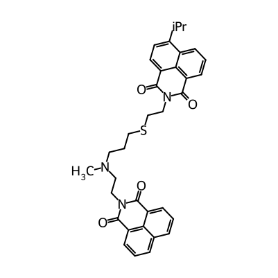 CC(C)c1ccc2c3c(cccc13)C(=O)N(CCSCCCN(C)CCN1C(=O)c3cccc4cccc(c34)C1=O)C2=O